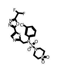 O=S1(=O)CCN(S(=O)(=O)N(Cc2ncc(-c3nnc(C(F)F)o3)s2)c2cccc(Cl)c2)CC1